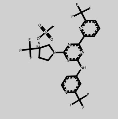 CS(=O)(=O)O[C@@]1(C(F)(F)F)CCN(c2nc(Nc3ccnc(C(F)(F)F)c3)nc(-c3cccc(C(F)(F)F)n3)n2)C1